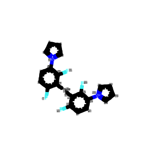 Fc1ccc(-n2cccc2)c(F)[c]1[Ti+2][c]1c(F)ccc(-n2cccc2)c1F